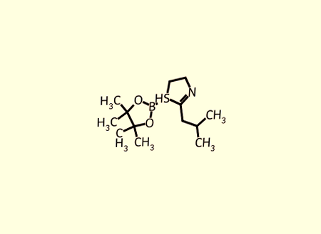 CC(C)CC1=NCC[SH]1B1OC(C)(C)C(C)(C)O1